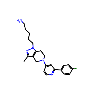 Cc1nn(CCCCCN)c2c1CN(c1ccnc(-c3ccc(F)cc3)c1)CC2